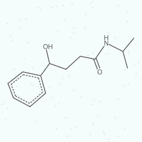 CC(C)NC(=O)CCC(O)c1ccccc1